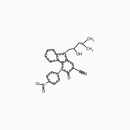 CN(C)CC(O)Cn1c2ccccc2c2c1cc(C#N)c(=O)n2-c1ccc([N+](=O)[O-])cc1